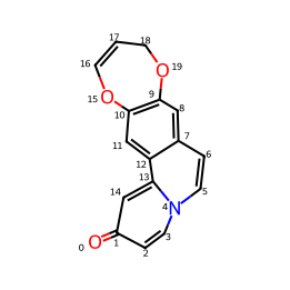 O=c1ccn2ccc3cc4c(cc3c2c1)OC=CCO4